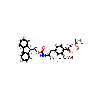 COc1cc(CC(NC(=O)OCC2c3ccccc3-c3ccccc32)C(=O)O)ccc1C(=O)N[S+](C)[O-]